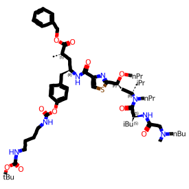 CCCCN(C)CC(=O)N[C@H](C(=O)N(CCC)[C@H](C[C@@H](OCCC)c1nc(C(=O)N[C@@H](Cc2ccc(OC(=O)NCCCCNC(=O)OC(C)(C)C)cc2)C[C@H](C)C(=O)OCc2ccccc2)cs1)C(C)C)[C@@H](C)CC